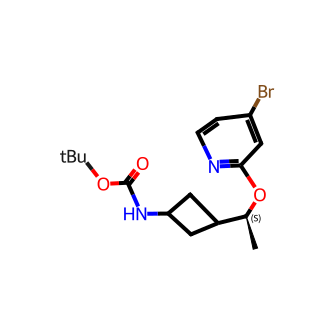 C[C@H](Oc1cc(Br)ccn1)C1CC(NC(=O)OC(C)(C)C)C1